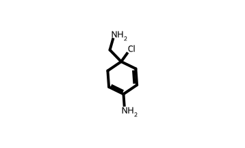 NCC1(Cl)C=CC(N)=CC1